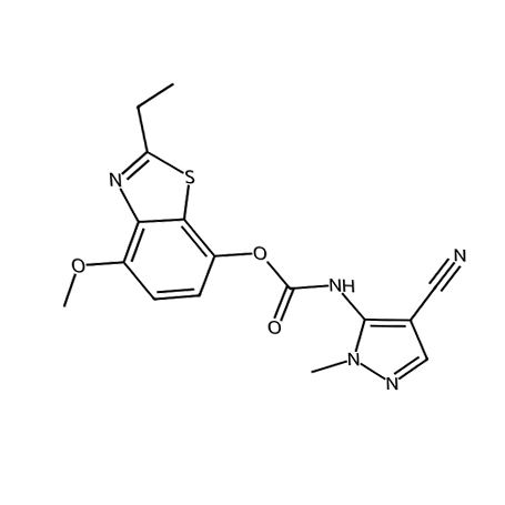 CCc1nc2c(OC)ccc(OC(=O)Nc3c(C#N)cnn3C)c2s1